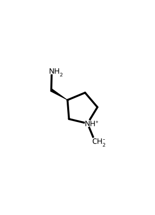 [CH2-][NH+]1CC[C@H](CN)C1